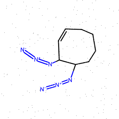 [N-]=[N+]=NC1C=CCCCCC1N=[N+]=[N-]